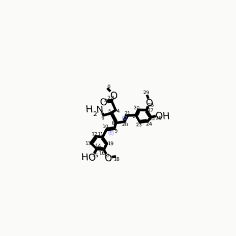 COC(=O)CC(CN)=C(/C=C/c1ccc(O)c(OC)c1)/C=C/c1ccc(O)c(OC)c1